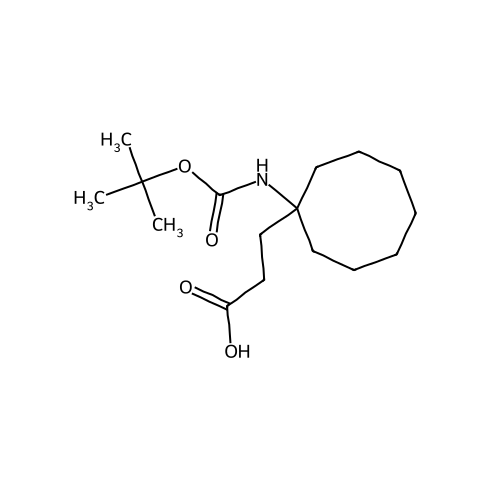 CC(C)(C)OC(=O)NC1(CCC(=O)O)CCCCCCC1